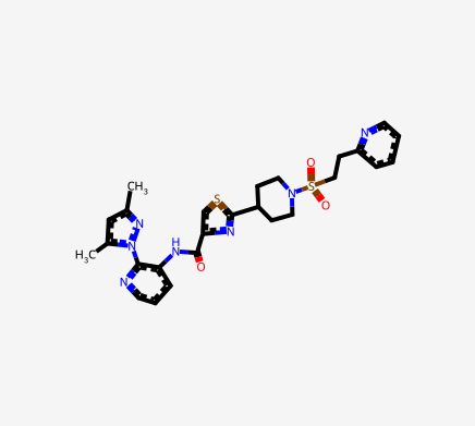 Cc1cc(C)n(-c2ncccc2NC(=O)c2csc(C3CCN(S(=O)(=O)CCc4ccccn4)CC3)n2)n1